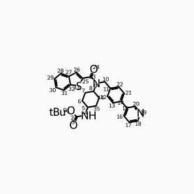 CC(C)(C)OC(=O)NC1CCC(N(Cc2ccc(-c3cccnc3)cc2)C(=O)c2cc3ccccc3s2)CC1